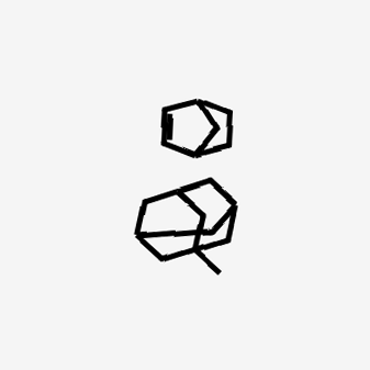 C1=CC2CCC1C2.CC12CC3CC(CC(C3)C1)C2